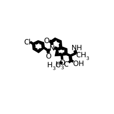 COc1cc2c(ccc(=O)n2C(=O)c2ccc(Cl)cc2)cc1/C(C(C)=N)=C(\C)O